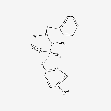 CC(C)N(Cc1ccccc1)C(C)C(C)(Oc1ccc(O)cc1)C(=O)O